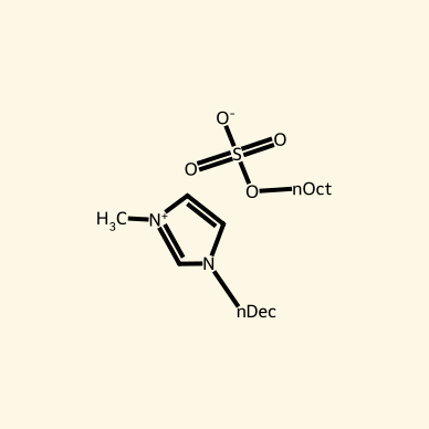 CCCCCCCCCCn1cc[n+](C)c1.CCCCCCCCOS(=O)(=O)[O-]